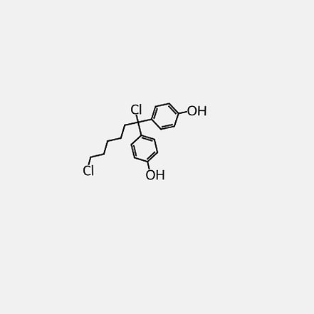 Oc1ccc(C(Cl)(CCCCCCl)c2ccc(O)cc2)cc1